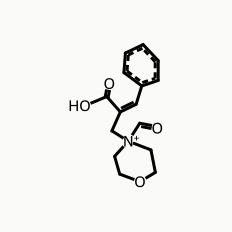 O=C[N+]1(CC(=Cc2ccccc2)C(=O)O)CCOCC1